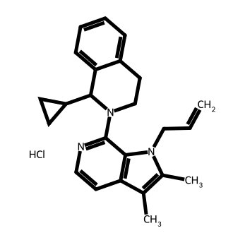 C=CCn1c(C)c(C)c2ccnc(N3CCc4ccccc4C3C3CC3)c21.Cl